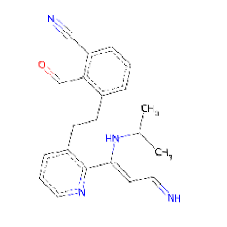 CC(C)N/C(=C\C=N)c1ncccc1CCc1cccc(C#N)c1C=O